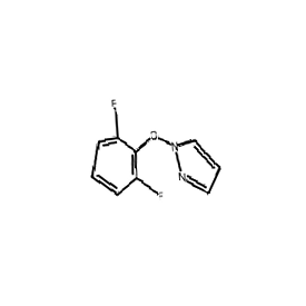 Fc1cccc(F)c1On1cc[c]n1